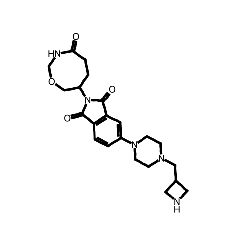 O=C1CCC(N2C(=O)c3ccc(N4CCN(CC5CNC5)CC4)cc3C2=O)COCN1